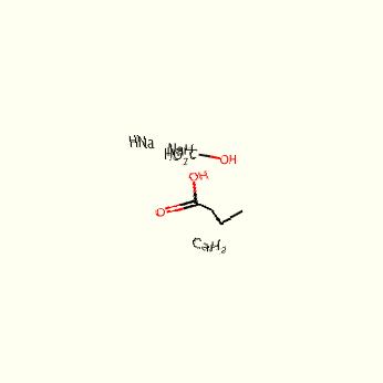 CCC(=O)O.O=C(O)O.[CaH2].[NaH].[NaH]